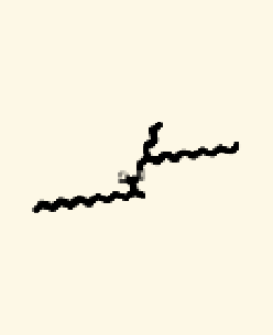 CCCCCCCCCCCC(C)C(=O)OCC(CCCC)CCCCCCCCCC